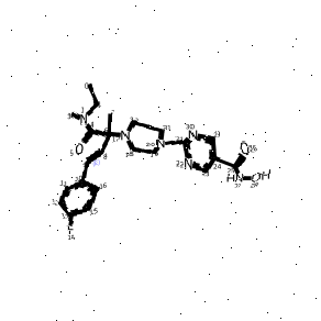 CCN(C)C(=O)C(C)(/C=C/c1ccc(F)cc1)N1CCN(c2ncc(C(=O)NO)cn2)CC1